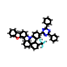 FC(F)(F)c1ccccc1-c1cc(-c2nc(-c3ccccc3)nc(-c3ccccc3)n2)ccc1-n1c2ccccc2c2c3oc4ccccc4c3ccc21